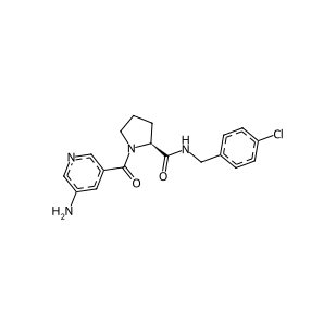 Nc1cncc(C(=O)N2CCC[C@H]2C(=O)NCc2ccc(Cl)cc2)c1